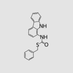 O=C(Nc1cccc2c1[nH]c1ccccc12)SCc1ccccc1